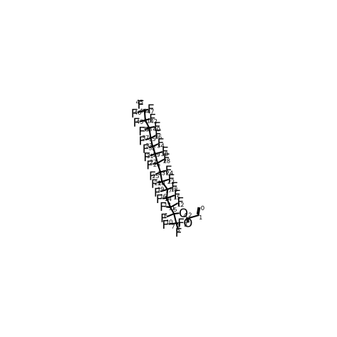 C=CC(=O)OC(F)(C(F)(F)F)C(F)(F)C(F)(F)C(F)(F)C(F)(F)C(F)(F)C(F)(F)C(F)(F)C(F)(F)C(F)(F)C(F)(F)C(F)(F)C(F)(F)F